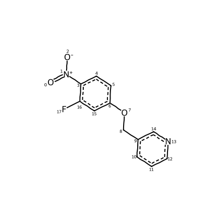 O=[N+]([O-])c1ccc(OCc2cccnc2)cc1F